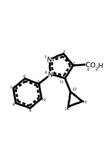 O=C(O)c1cnn(-c2ccccc2)c1C1CC1